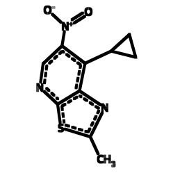 Cc1nc2c(C3CC3)c([N+](=O)[O-])cnc2s1